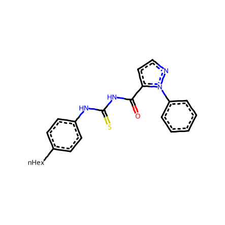 CCCCCCc1ccc(NC(=S)NC(=O)c2ccnn2-c2ccccc2)cc1